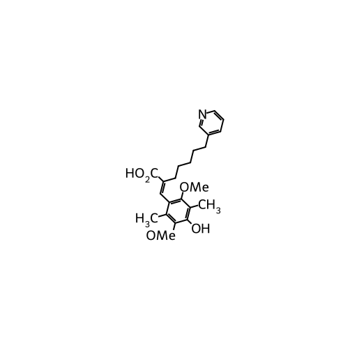 COc1c(C)c(C=C(CCCCCc2cccnc2)C(=O)O)c(OC)c(C)c1O